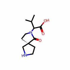 CC(C)C(C(=O)O)N1CC[C@@]2(CCNC2)C1=O